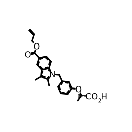 C=CCOC(=O)c1ccc2c(c1)c(C)c(C)n2Cc1cccc(O[C@H](C)C(=O)O)c1